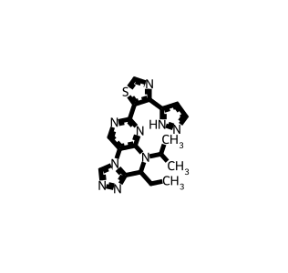 CCC1c2nncn2-c2cnc(-c3scnc3-c3ccn[nH]3)nc2N1C(C)C